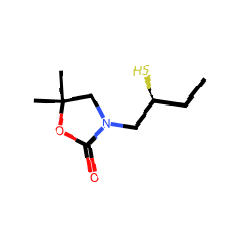 CC[C@H](S)CN1CC(C)(C)OC1=O